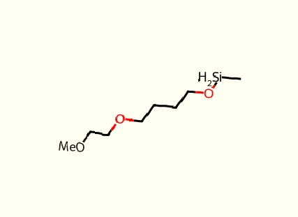 COCCOCCCCO[SiH2]C